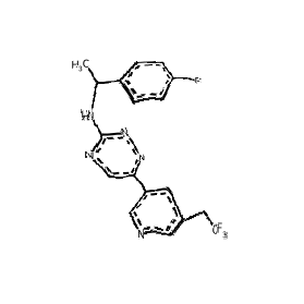 CC(Nc1ncc(-c2cncc(CC(F)(F)F)c2)nn1)c1ccc(F)cc1